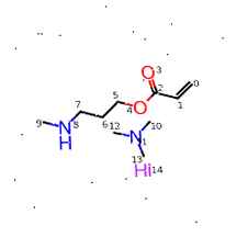 C=CC(=O)OCCCNC.CN(C)C.I